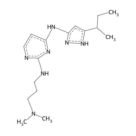 CCC(C)c1cc(Nc2ccnc(NCCCN(C)C)n2)n[nH]1